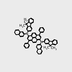 CC1(C)c2ccccc2-c2ccc(N(C3=CCC4CCC=CC4=C3)c3cc(-c4ccccc4)c4ccc5c(N(c6ccc7c(c6)C=CCC7)c6ccc7c(c6)C(C)(C)c6ccccc6-7)cc(-c6ccccc6)c6ccc3c4c65)cc21